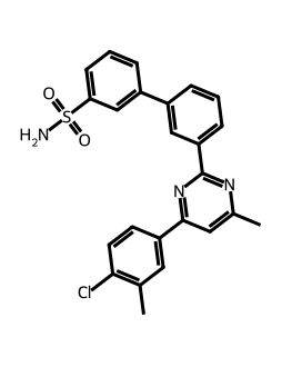 Cc1cc(-c2ccc(Cl)c(C)c2)nc(-c2cccc(-c3cccc(S(N)(=O)=O)c3)c2)n1